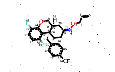 C=CCO/N=C1/CC[C@@]2(Cc3ccc(C(F)(F)F)cc3)c3c(F)ccc(F)c3OC[C@H]2C1